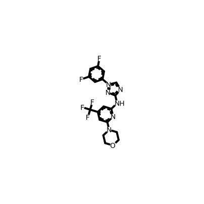 Fc1cc(F)cc(-n2cnc(Nc3cc(C(F)(F)F)cc(N4CCOCC4)n3)n2)c1